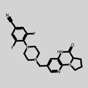 N#Cc1cc(F)c(N2CCN(Cc3cnc4c(c3)NC(=O)C3CCCN43)CC2)c(F)c1